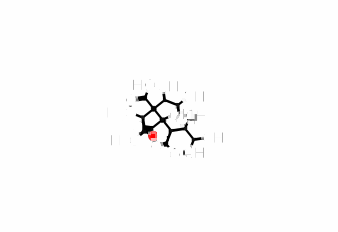 CC(C)C(C)C(C(=O)O)C(O)(C(=O)O)C(C(=O)O)(C(C)C(C)C)C(C)C(C)C